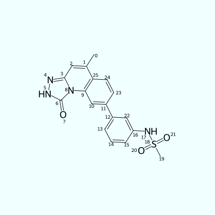 Cc1cc2n[nH]c(=O)n2c2cc(-c3cccc(NS(C)(=O)=O)c3)ccc12